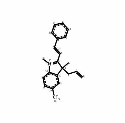 C=CCC1(C)C(/C=C/c2ccccc2)=[N+](C)c2ccc(C(F)(F)F)cc21